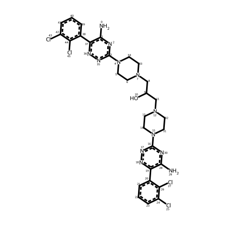 Nc1nc(N2CCN(CC(O)CN3CCN(c4nnc(-c5cccc(Cl)c5Cl)c(N)n4)CC3)CC2)nnc1-c1cccc(Cl)c1Cl